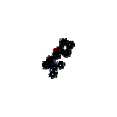 c1ccc(-c2cc(-c3ccccc3)nc(-n3c4ccccc4c4ccc(-c5ccc6c(c5)oc5cc7c(cc56)-c5ccccc5Cc5ccccc5-c5ccccc5C7)cc43)n2)cc1